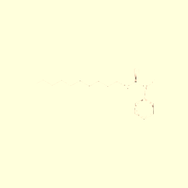 B=C(NCCCCCCCCCC)N(C)c1ccccc1